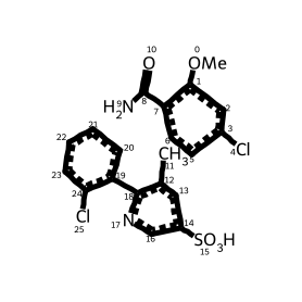 COc1cc(Cl)ccc1C(N)=O.Cc1cc(S(=O)(=O)O)cnc1-c1ccccc1Cl